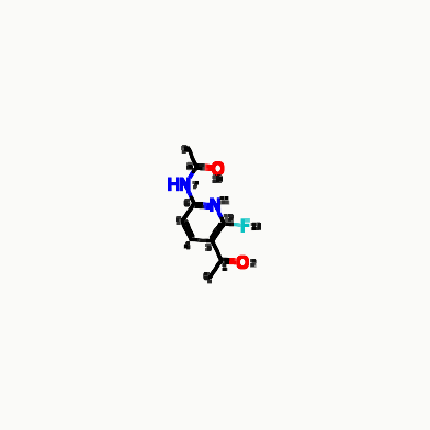 [CH2]C(=O)c1ccc(NC(C)=O)nc1F